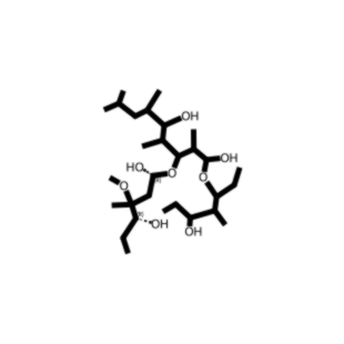 CCC(O)C(C)C(CC)OC(O)C(C)C(O[C@@H](O)CC(C)(OC)[C@H](O)CC)C(C)C(O)C(C)CC(C)C